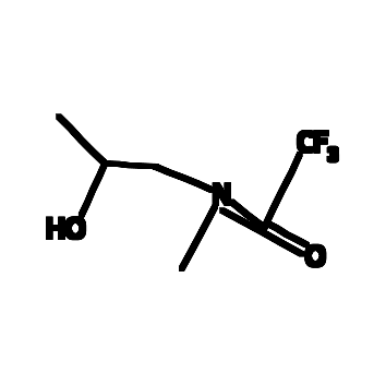 CC(O)CN(C)C(=O)C(F)(F)F